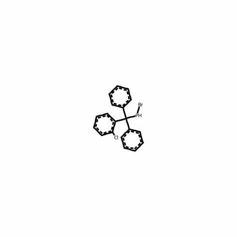 Clc1ccccc1C(PBr)(c1ccccc1)c1ccccc1